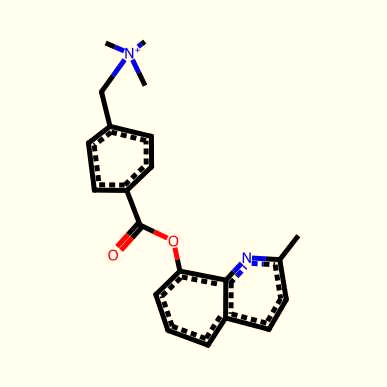 Cc1ccc2cccc(OC(=O)c3ccc(C[N+](C)(C)C)cc3)c2n1